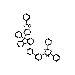 C1=C2N=C(c3ccccc3)OC2CC=C1C1(c2ccccc2)c2ccccc2-c2c(-c3cccc(-c4cccc(-c5nc(-c6ccccc6)nc(-c6ccccc6)n5)c4)c3)cccc21